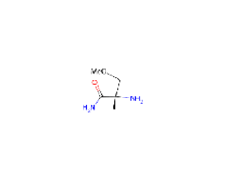 COC[C@](C)(N)C(N)=O